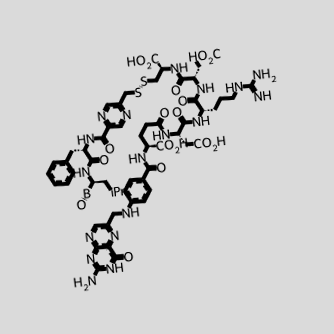 CC(C)C[C@@H](B=O)NC(=O)[C@H](Cc1ccccc1)NC(=O)c1cnc(CSSC[C@H](NC(=O)[C@H](CC(=O)O)NC(=O)[C@H](CCCNC(=N)N)NC(=O)[C@H](CC(=O)O)NC(=O)CC[C@H](NC(=O)c2ccc(NCc3cnc4nc(N)[nH]c(=O)c4n3)cc2)C(=O)O)C(=O)O)cn1